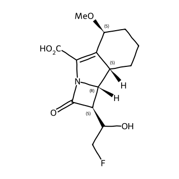 CO[C@H]1CCC[C@H]2C1=C(C(=O)O)N1C(=O)[C@H](C(O)CF)[C@@H]21